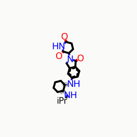 CC(C)N[C@@H]1CCCC[C@@H]1Nc1ccc2c(c1)CN(C1CCC(=O)NC1=O)C2=O